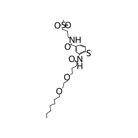 CCCCCCCOCCCOCCCC(=O)Nc1cc(C(=O)NCCCS(C)(=O)=O)ccc1SC